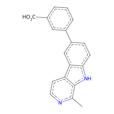 Cc1nccc2c1[nH]c1ccc(-c3cccc(C(=O)O)c3)cc12